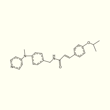 CC(C)Oc1ccc(C=CC(=O)NCc2ccc(N(C)c3ccncc3)cc2)cc1